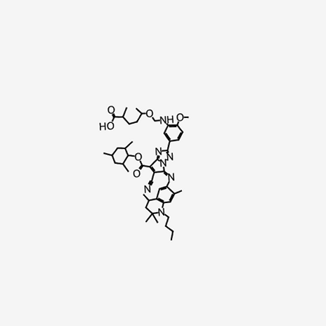 CCCCN1c2cc(C)c(/N=C3\C(C#N)=C(C(=O)OC4C(C)CC(C)CC4C)c4nc(-c5ccc(OC)c(NCOC(C)CCC(C)C(=O)O)c5)nn43)cc2C(C)CC1(C)C